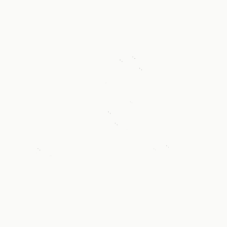 NC(=O)c1ccc(-c2cnn([C@@H](Cc3ccn(C(F)F)n3)c3ccc(-c4cc(Cl)ccc4-n4cc(C(F)(F)F)nn4)c[n+]3[O-])c2)cc1F